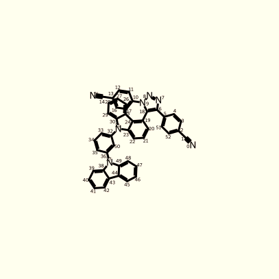 N#Cc1ccc(-c2nnn(-c3ccc(C#N)cc3)c2-c2cccc3c2c2ccccc2n3-c2cccc(-n3c4ccccc4c4ccccc43)c2)cc1